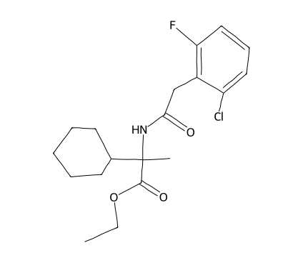 CCOC(=O)C(C)(NC(=O)Cc1c(F)cccc1Cl)C1CCCCC1